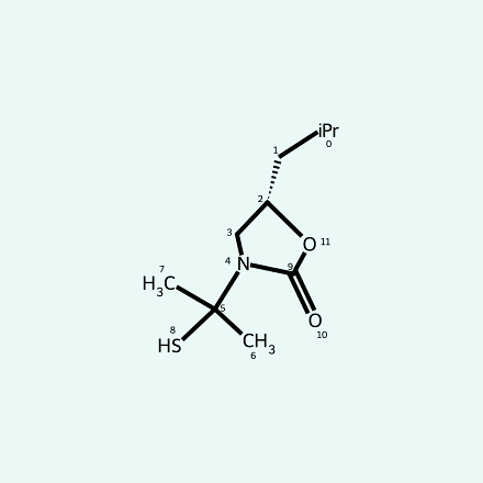 CC(C)C[C@H]1CN(C(C)(C)S)C(=O)O1